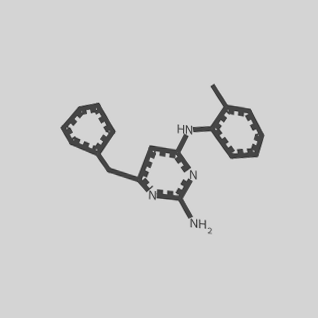 Cc1ccccc1Nc1cc(Cc2ccccc2)nc(N)n1